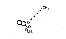 CCCCCCCCCCOc1cc2ccccc2cc1C(=O)OC